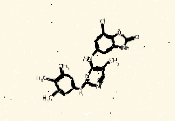 Cc1cnc(Nc2cc(C)c(C)c(C)c2)nc1Nc1cc(Cl)c2oc(=O)[nH]c2c1